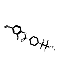 CCCc1ccc(OC(=O)[C@H]2CC[C@H](C(F)(F)C(F)(F)C(F)(F)F)CC2)c(F)c1